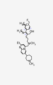 C=C/C=C(\C=C/C(C)CF)C(/N=C)=C(\CO)SCCN(C)CC1=C=C(CC)N=C2C=CC(C3CCCN(C)CC3)=CN12